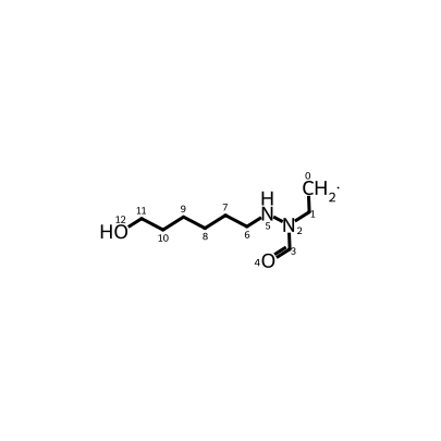 [CH2]CN(C=O)NCCCCCCO